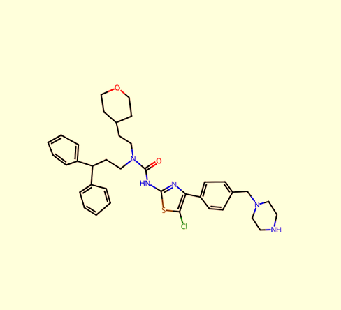 O=C(Nc1nc(-c2ccc(CN3CCNCC3)cc2)c(Cl)s1)N(CCC1CCOCC1)CCC(c1ccccc1)c1ccccc1